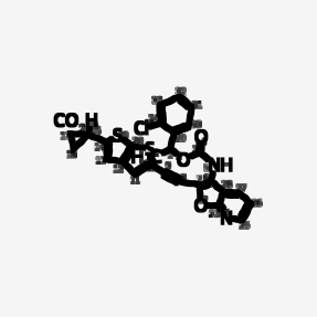 CC(OC(=O)Nc1c(C#Cc2cc3cc(C4(C(=O)O)CC4)sc3s2)oc2ncccc12)c1ccccc1Cl